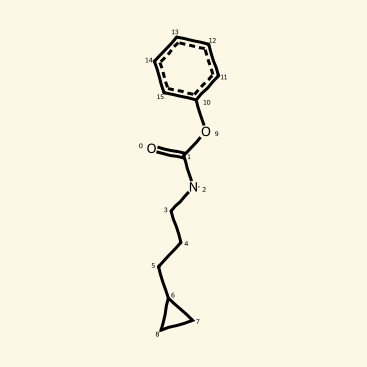 O=C([N]CCCC1CC1)Oc1ccccc1